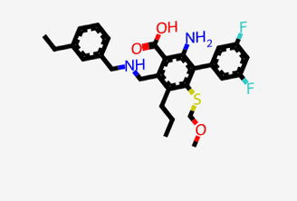 CCCc1c(CNCc2cccc(CC)c2)c(C(=O)O)c(N)c(-c2cc(F)cc(F)c2)c1SCOC